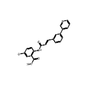 COC(=O)c1cc(Cl)ccc1NC(=O)C=Cc1cccc(-c2cccnc2)c1